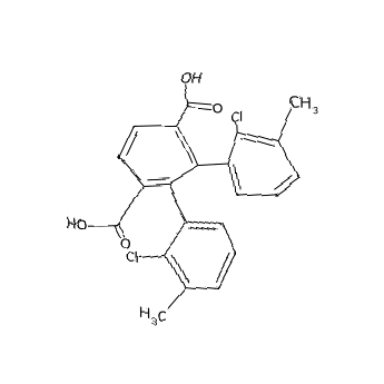 Cc1cccc(-c2c(C(=O)O)ccc(C(=O)O)c2-c2cccc(C)c2Cl)c1Cl